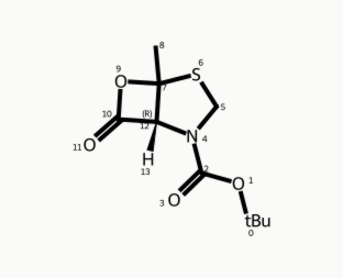 CC(C)(C)OC(=O)N1CSC2(C)OC(=O)[C@@H]12